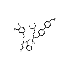 CCN(CC)CCN(Cc1ccc(-c2ccc(CF)cc2)cc1)C(=O)Cn1c(SCc2ccc(F)c(F)c2)nc(=O)c2c1CCC2